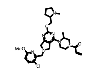 C=CC(=O)N1CCN(c2nc(OCC3CCCN3C)nc3c2CN(Cc2nc(OC)ccc2Cl)C3)C(C)C1